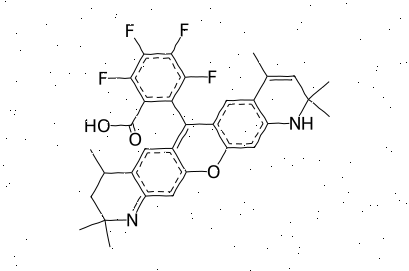 CC1=CC(C)(C)Nc2cc3c(cc21)C(c1c(F)c(F)c(F)c(F)c1C(=O)O)=c1cc2c(cc1O3)=NC(C)(C)CC2C